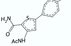 CC(=O)Nc1cc(-c2ccc(Cl)cc2)sc1C(N)=O